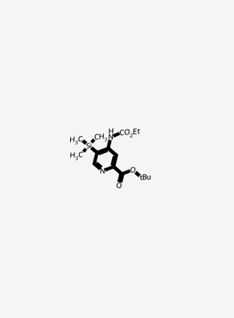 CCOC(=O)Nc1cc(C(=O)OC(C)(C)C)ncc1[Si](C)(C)C